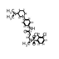 CN(C)C1CCCN(c2ccc(NC(=O)CCN(C)S(=O)(=O)c3cccc(Cl)c3Cl)cc2)C1